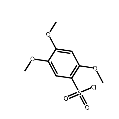 COc1cc(OC)c(S(=O)(=O)Cl)cc1OC